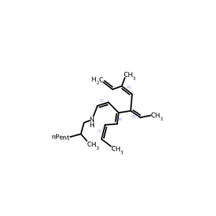 C=C\C(C)=C/C(=C\C)C(/C=C\NCC(C)CCCCC)=C/C=C\C